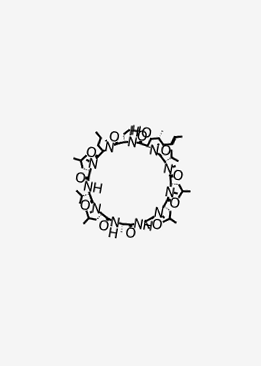 C/C=C/C[C@@H](C)[C@@H](O)[C@H]1C(=O)N[C@@H](CC)C(=O)N(C)C(CCC)C(=O)N(C)[C@@H](CC(C)C)C(=O)N[C@@H](C(C)C)C(=O)N(C)[C@@H](CC(C)C)C(=O)N[C@@H](C)C(=O)N[C@H](C)C(=O)N(C)[C@@H](CC(C)C)C(=O)N(C)[C@@H](CC(C)C)C(=O)N(C)[C@@H](C(C)C)C(=O)N1C